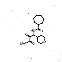 COC(=O)C(=O)C(NC(=O)C1CCCCCC1)C1CCOCC1